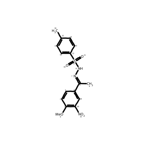 COc1ccc(/C(C)=N/NS(=O)(=O)c2ccc(C)cc2)cc1[N+](=O)[O-]